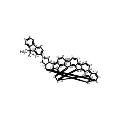 CC1(C)c2ccccc2-c2ccc(N3CC4c5c6ccc7c8ccc9c%10ccc%11c%12ccc%13c(c%14c5c5c6c7c6c8c9c7c%10c%11c8c%12c%13c%14c9c5c6c7c89)C4C3)cc21